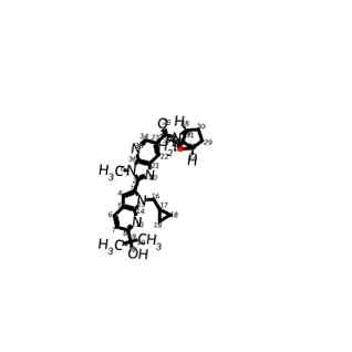 Cn1c(-c2cc3ccc(C(C)(C)O)nc3n2CC2CC2)nc2cc(C(=O)N3C[C@H]4CC[C@@H]3[C@@H]4N)cnc21